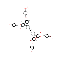 COC(=O)c1ccc(COc2c(C)cc(C3(c4cc(C)c(OCc5ccc(C(=O)OC)cc5)c(C=O)c4)CCC(C(C)(C)C4CCC(c5cc(C)c(OCc6ccc(C(=O)OC)cc6)c(C=O)c5)(c5cc(C)c(OCc6ccc(C(=O)OC)cc6)c(C=O)c5)CC4)CC3)cc2C=O)cc1